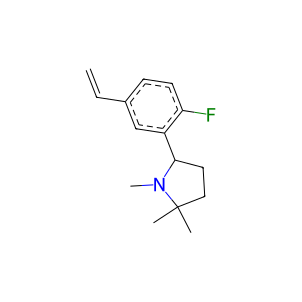 C=Cc1ccc(F)c(C2CCC(C)(C)N2C)c1